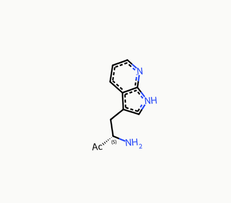 CC(=O)[C@@H](N)Cc1c[nH]c2ncccc12